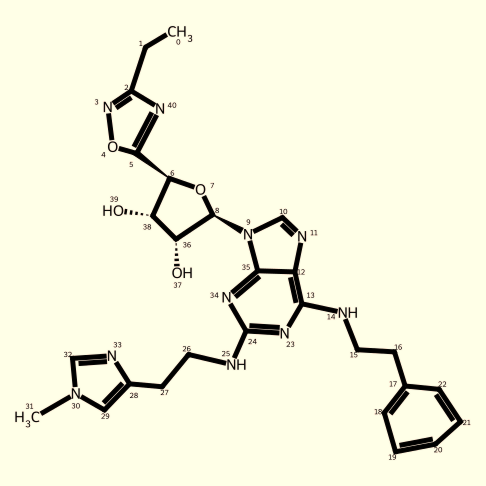 CCc1noc([C@H]2O[C@@H](n3cnc4c(NCCc5ccccc5)nc(NCCc5cn(C)cn5)nc43)[C@H](O)[C@@H]2O)n1